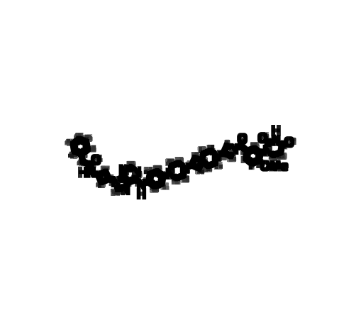 COc1ccc(C(=O)N2CC(N3CCC4(CC3)CC(N3CCN(c5ccc(Nc6ncnc7c6ncn7C6CC(NC(=O)Cc7ccccc7)C6)cc5)CC3)C4)C2)cc1N1CCC(=O)NC1=O